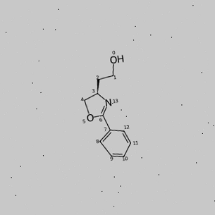 OCC[C@@H]1COC(c2ccccc2)=N1